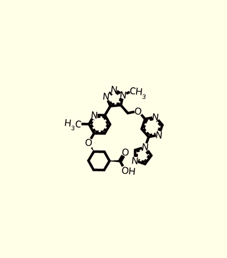 Cc1nc(-c2nnn(C)c2COc2cc(-n3ccnc3)ncn2)ccc1O[C@H]1CCC[C@H](C(=O)O)C1